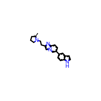 C[C@@H]1CCCN1CCc1cn2cc(-c3ccc4[nH]ccc4c3)ccc2n1